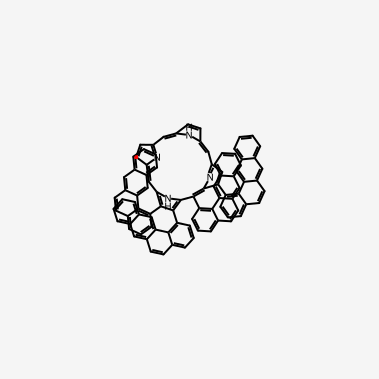 C1=Cc2cc3[nH]c(c(-c4cccc5ccc6cc7ccccc7cc6c45)c4nc(cc5ccc(cc1n2)[nH]5)C=C4c1cccc2ccc4cc5ccccc5cc4c12)c(-c1cccc2ccc4cc5ccccc5cc4c12)c3-c1cccc2ccc3cc4ccccc4cc3c12